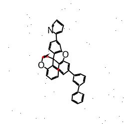 c1ccc(-c2cccc(-c3ccc4c(c3)Oc3cc(-c5ccccn5)ccc3C43c4ccccc4Oc4ccccc43)c2)cc1